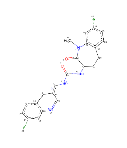 CN1C(=O)C(NC(=O)N/C=C(\C=N)Cc2ccc(F)cc2)CCc2ccc(Br)cc21